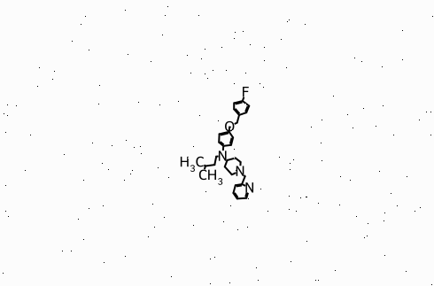 CC(C)CCN(c1ccc(OCc2ccc(F)cc2)cc1)C1CCN(Cc2ccccn2)CC1